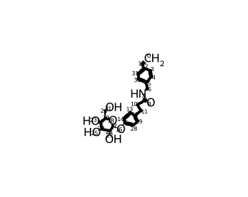 C=Cc1ccc(CNC(=O)CCc2ccc(O[C@H]3O[C@H](CO)[C@@H](O)[C@H](O)[C@@H]3O)cc2)cc1